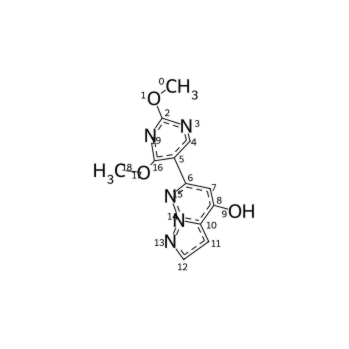 COc1ncc(-c2cc(O)c3ccnn3n2)c(OC)n1